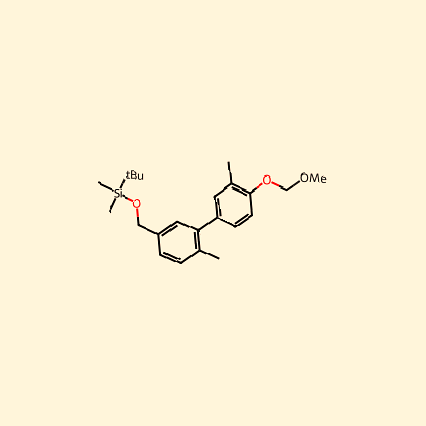 COCOc1ccc(-c2cc(CO[Si](C)(C)C(C)(C)C)ccc2C)cc1C